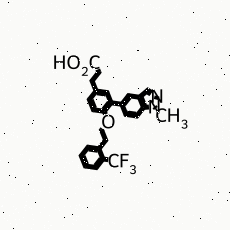 Cn1ncc2cc(-c3cc(CCC(=O)O)ccc3OCCc3ccccc3C(F)(F)F)ccc21